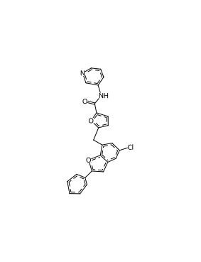 O=C(Nc1cccnc1)c1ccc(Cc2cc(Cl)cc3cc(-c4ccccc4)oc23)o1